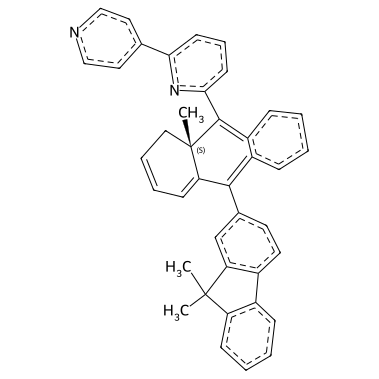 CC1(C)c2ccccc2-c2ccc(C3=c4ccccc4=C(c4cccc(-c5ccncc5)n4)[C@@]4(C)CC=CC=C34)cc21